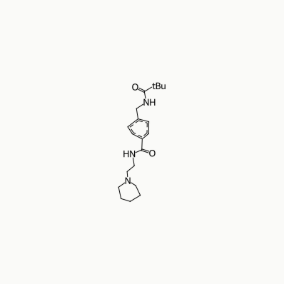 CC(C)(C)C(=O)NCc1ccc(C(=O)NCCN2CCCCC2)cc1